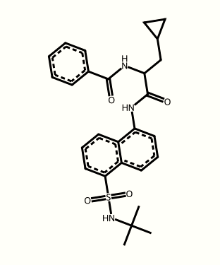 CC(C)(C)NS(=O)(=O)c1cccc2c(NC(=O)C(CC3CC3)NC(=O)c3ccccc3)cccc12